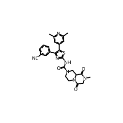 Cc1cc(-c2sc(NC(=O)N3CCN4C(=O)CN(C)C(=O)C4C3)nc2-c2cccc(C#N)c2)cc(C)n1